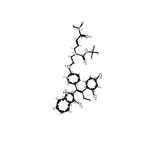 CC/C(=C(/c1ccc(OCCN(C/C=C/C(=O)N(C)C)C(=O)OC(C)(C)C)nc1)c1[nH]c2ccccc2c1Cl)c1ccc(Cl)cc1Cl